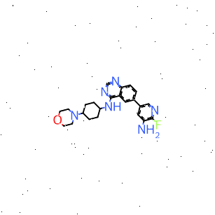 Nc1cc(-c2ccc3ncnc(NC4CCC(N5CCOCC5)CC4)c3c2)cnc1F